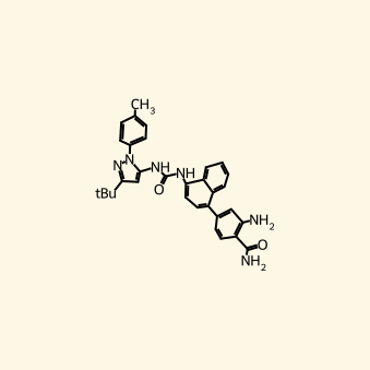 Cc1ccc(-n2nc(C(C)(C)C)cc2NC(=O)Nc2ccc(-c3ccc(C(N)=O)c(N)c3)c3ccccc23)cc1